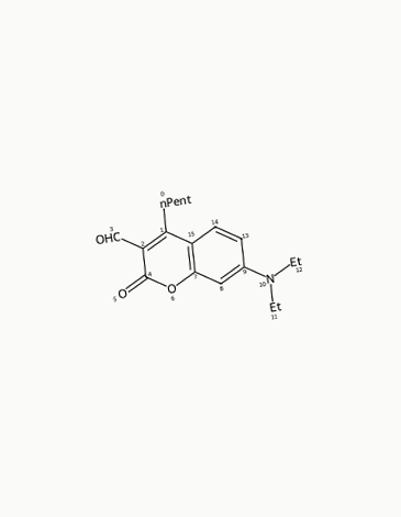 C[CH]CCCc1c(C=O)c(=O)oc2cc(N(CC)CC)ccc12